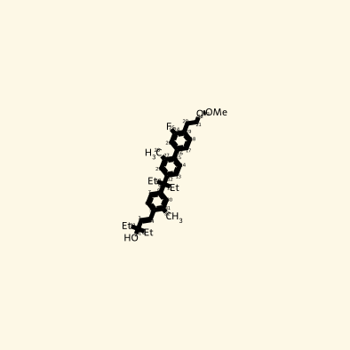 CCC(O)(/C=C/c1ccc(C(CC)(CC)c2ccc(-c3ccc(CCOOC)c(F)c3)c(C)c2)cc1C)CC